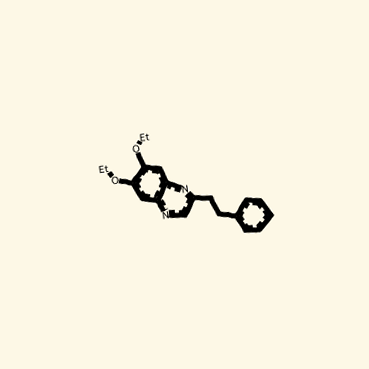 CCOc1cc2ncc(CCc3ccccc3)nc2cc1OCC